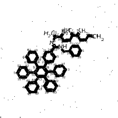 C=C/C=C\C(=C)C(=C)/C=C\C(=C)C(=C)/N=C(\NCc1ccccc1)c1ccc(-c2c(-c3ccccc3)c(-c3ccccc3)c(-c3ccccc3)c(-c3ccccc3)c2-c2ccccc2)cc1